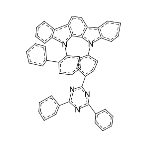 c1ccc(-c2nc(-c3ccccc3)nc(-c3ccc(-n4c5ccccc5c5ccc6c7ccccc7n(-c7ccccc7-c7ccccc7)c6c54)cc3)n2)cc1